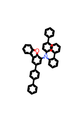 c1ccc(-c2ccc(-c3cc(N(c4ccc(-c5ccccc5)cc4)c4ccccc4-c4ccccc4)c4oc5ccccc5c4c3)cc2)cc1